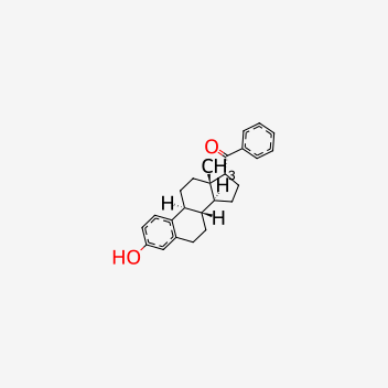 C[C@]12CC[C@@H]3c4ccc(O)cc4CC[C@H]3[C@@H]1CC[C@H]2C(=O)c1ccccc1